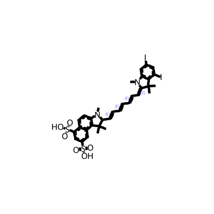 CN1\C(=C/C=C/C=C/C=C/C2N(C)c3ccc4c(S(=O)(=O)O)cc(S(=O)(=O)O)cc4c3C2(C)C)C(C)(C)c2c(I)cc(I)cc21